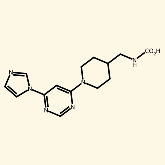 O=C(O)NCC1CCN(c2cc(-n3ccnc3)ncn2)CC1